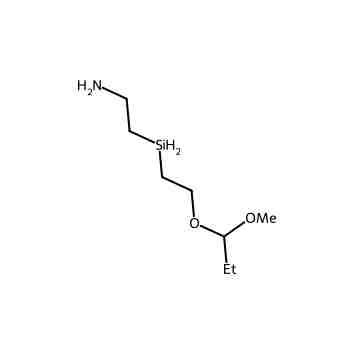 CCC(OC)OCC[SiH2]CCN